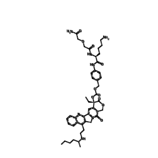 CCCCC(C)NCCc1c2c(nc3ccccc13)-c1cc3c(c(=O)n1C2)COC(=O)[C@@]3(CC)OC(=O)OCc1ccc(NC(=O)[C@H](CCCCN)NC(=O)COCC(N)=O)cc1